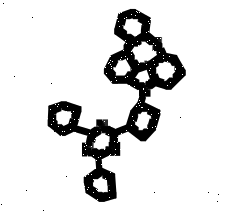 c1ccc(-c2nc(-c3ccccc3)nc(-c3cccc(-n4c5cccc6sc7ccccc7c7cccc4c7c65)c3)n2)cc1